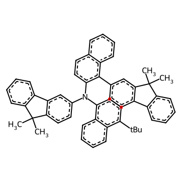 CC(C)(C)c1ccc(N(c2ccc3c(c2)-c2ccccc2C3(C)C)c2ccc3ccccc3c2-c2ccc3c(c2)C(C)(C)c2ccccc2-3)c2ccccc12